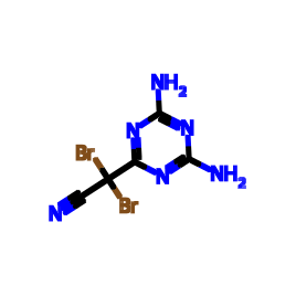 N#CC(Br)(Br)c1nc(N)nc(N)n1